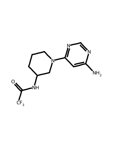 Nc1cc(N2CCCC(NC(=O)C(F)(F)F)C2)ncn1